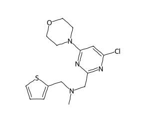 CN(Cc1nc(Cl)cc(N2CCOCC2)n1)Cc1cccs1